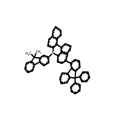 CC1(C)c2ccccc2-c2ccc(N(c3ccc(-c4cccc5c4-c4ccccc4C5(c4ccccc4)c4ccccc4)cc3)c3ccc4ccccc4c3-c3ccccc3)cc21